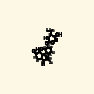 CC(C)C(NC(=O)Oc1ccc2c3c1O[C@H]1C(=O)CCC4[C@@H](C2)N(C)CC[C@@]341)C(=O)O